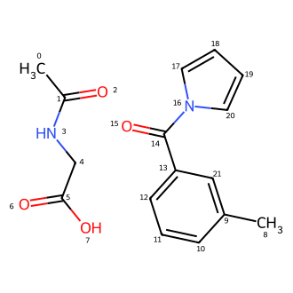 CC(=O)NCC(=O)O.Cc1cccc(C(=O)n2cccc2)c1